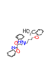 O=C(O)c1ccccc1OCCCCNCC(Oc1ccccc1)c1nc2ccccc2o1